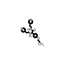 CCCOc1ccc(C(NCCc2ccncc2)C(=O)NCCc2ccncc2)cc1